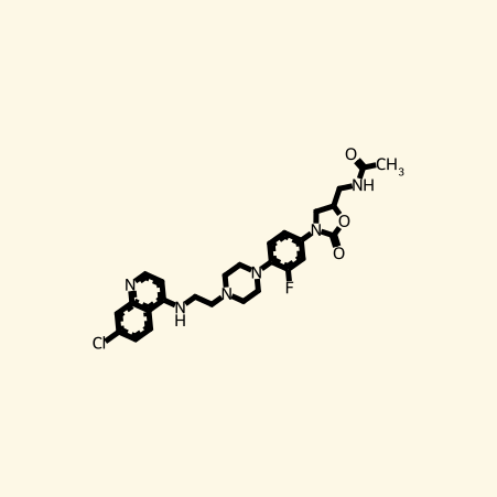 CC(=O)NCC1CN(c2ccc(N3CCN(CCNc4ccnc5cc(Cl)ccc45)CC3)c(F)c2)C(=O)O1